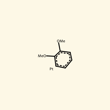 COc1ccccc1OC.[Pt]